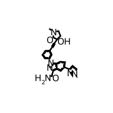 CN1CCC(O)(C#Cc2cccc(-n3nc(C(N)=O)c4cc(-c5ccn(C)n5)ccc43)c2)C1=O